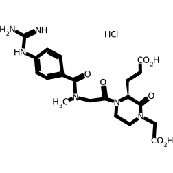 CN(CC(=O)N1CCN(CC(=O)O)C(=O)[C@@H]1CCC(=O)O)C(=O)c1ccc(NC(=N)N)cc1.Cl